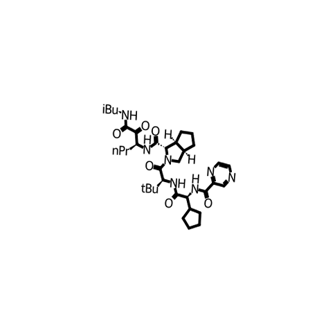 CCC[C@H](NC(=O)[C@@H]1[C@H]2CCC[C@H]2CN1C(=O)[C@@H](NC(=O)[C@@H](NC(=O)c1cnccn1)C1CCCC1)C(C)(C)C)C(=O)C(=O)N[C@@H](C)CC